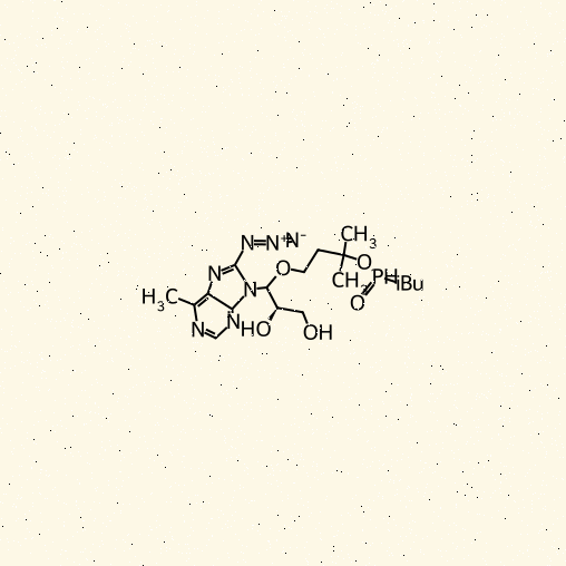 CCC(C)[PH](=O)OC(C)(C)CCOC([C@H](O)CO)n1c(N=[N+]=[N-])nc2c(C)ncnc21